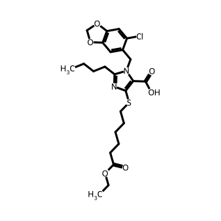 CCCCc1nc(SCCCCCC(=O)OCC)c(C(=O)O)n1Cc1cc2c(cc1Cl)OCO2